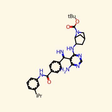 CC(C)c1cccc(NC(=O)c2ccc(C(=N)c3c(N)ncnc3NC3CC4CC3N(C(=O)OC(C)(C)C)C4)cc2)c1